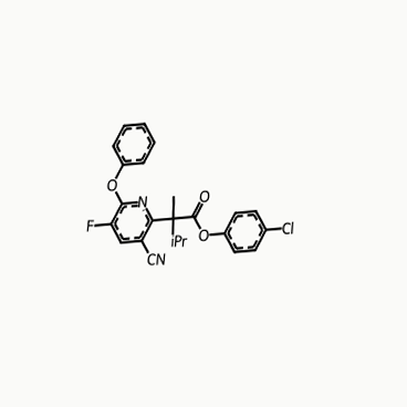 CC(C)C(C)(C(=O)Oc1ccc(Cl)cc1)c1nc(Oc2ccccc2)c(F)cc1C#N